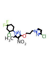 Cc1c([N+](=O)[O-])c(OCCCn2ccc(Cl)n2)nn1C1CCC(F)(F)CC1Cl